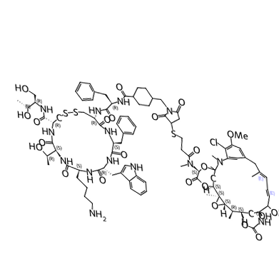 COc1cc2cc(c1Cl)N(C)C1(C)C[C@H](OC(=O)[C@@H](N(C)C(=O)CCSC3CC(=O)N(CC4CCC(C(=O)N[C@H](Cc5ccccc5)C(=O)N[C@H]5CSSC[C@@H](C(=O)N[C@H](CO)[C@@H](C)O)NC(=O)[C@H]([C@@H](C)O)NC(=O)[C@H](CCCCN)NC(=O)[C@@H](Cc6c[nH]c7ccccc67)NC(=O)[C@H](Cc6ccccc6)NC5=O)CC4)C3=O)O1)[C@]1(C)O[C@H]1[C@H](C)[C@@H]1C[C@@](O)(NC(=O)O1)C(OC)/C=C/C=C(\C)C2